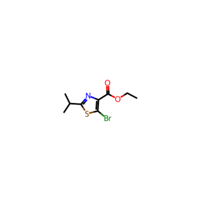 CCOC(=O)c1nc(C(C)C)sc1Br